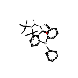 C[C@H]([C@@H]1C=CC=C1c1ccccc1P(c1ccccc1)c1ccccc1)P(C(C)(C)C)C(C)(C)C